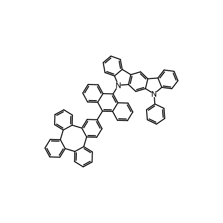 c1ccc(-n2c3ccccc3c3cc4c5ccccc5n(-c5c6ccccc6c(-c6ccc7c(c6)-c6ccccc6-c6ccccc6-c6ccccc6-7)c6ccccc56)c4cc32)cc1